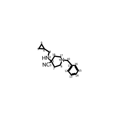 N#CC1(NCC2CC2)CCN(Cc2ccccc2)CC1